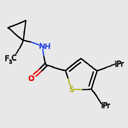 CC(C)c1cc(C(=O)NC2(C(F)(F)F)CC2)sc1C(C)C